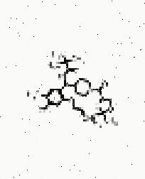 C=CCOc1cc(Cl)c(C)cc1C(NC(=O)C(C)(C)C)C1CCN(C(=O)[C@H]2COC(C)(C)O2)CC1